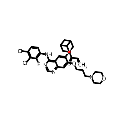 C=CC(=O)N1CC2CC(C1)C2Oc1cc2c(Nc3ccc(Cl)c(Cl)c3F)ncnc2cc1OCCCN1CCOCC1